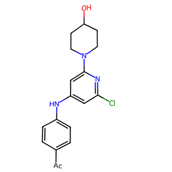 CC(=O)c1ccc(Nc2cc(Cl)nc(N3CCC(O)CC3)c2)cc1